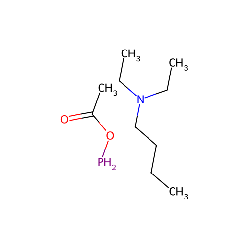 CC(=O)OP.CCCCN(CC)CC